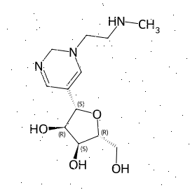 CNCCN1C=C([C@@H]2O[C@H](CO)[C@@H](O)[C@H]2O)C=NC1